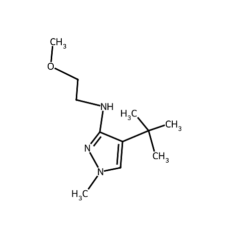 COCCNc1nn(C)cc1C(C)(C)C